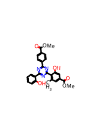 COC(=O)c1ccc(-c2nc(-c3ccccc3O)nc(-c3c(C)cc(C(=O)OC)cc3O)n2)cc1